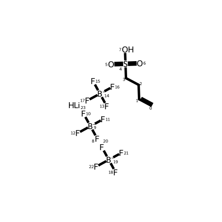 C=CCCS(=O)(=O)O.F[B-](F)(F)F.F[B-](F)(F)F.F[B-](F)(F)F.[LiH]